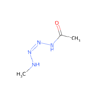 CN/N=N\NC(C)=O